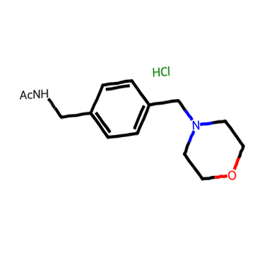 CC(=O)NCc1ccc(CN2CCOCC2)cc1.Cl